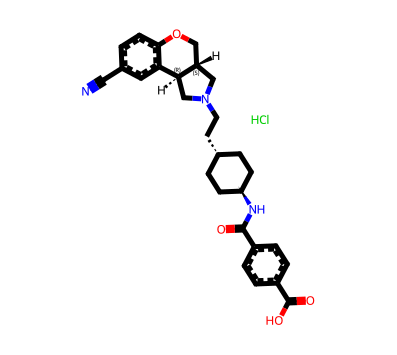 Cl.N#Cc1ccc2c(c1)[C@@H]1CN(CC[C@H]3CC[C@H](NC(=O)c4ccc(C(=O)O)cc4)CC3)C[C@H]1CO2